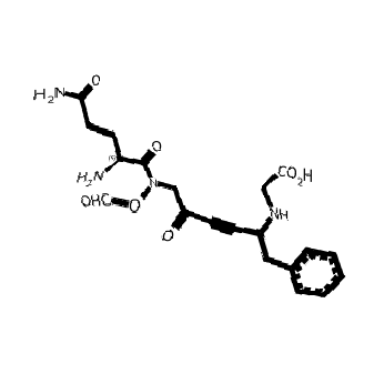 NC(=O)CC[C@H](N)C(=O)N(CC(=O)C#CC(Cc1ccccc1)NCC(=O)O)OC=O